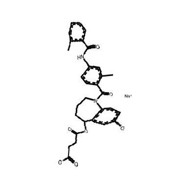 Cc1ccccc1C(=O)Nc1ccc(C(=O)N2CCCC(OC(=O)CCC(=O)[O-])c3cc(Cl)ccc32)c(C)c1.[Na+]